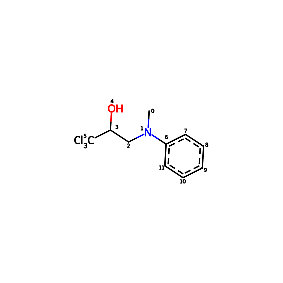 CN(CC(O)C(Cl)(Cl)Cl)c1ccccc1